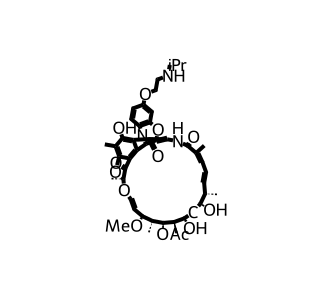 CO[C@H]1/C=C/O[C@@]2(C)Oc3c(C)c(O)c4c(=O)c(c5oc6cc(OCCNC(C)C)ccc6nc-5c4c3C2=O)NC(=O)/C(C)=C\C=C\[C@H](C)[C@H](O)C[C@@H](O)[C@@H](C)[C@H](OC(C)=O)[C@@H]1C